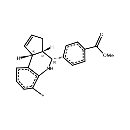 COC(=O)c1ccc([C@@H]2Nc3c(F)cccc3[C@@H]3C=CC[C@@H]32)cc1